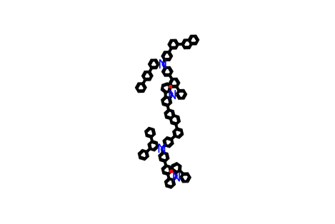 c1ccc(-c2ccc(-c3cccc(N(c4ccc(-c5ccc(-c6ccccc6-n6c7ccccc7c7ccc(-c8ccc9cc(-c%10cccc(-c%11ccc(N(c%12ccc(-c%13ccc(-c%14ccccc%14-n%14c%15ccccc%15c%15ccccc%15%14)cc%13)cc%12)c%12cc(-c%13ccccc%13)cc(-c%13ccccc%13)c%12)cc%11)c%10)ccc9c8)cc76)cc5)cc4)c4ccc(-c5cccc(-c6ccc7ccccc7c6)c5)cc4)c3)cc2)cc1